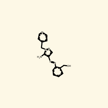 Nc1c(N=Nc2ccccc2CO)cnn1Cc1ccncc1